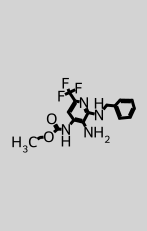 CCOC(=O)Nc1cc(C(F)(F)F)nc(NCc2ccccc2)c1N